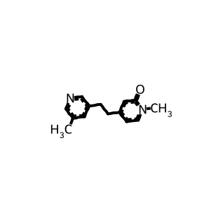 Cc1cncc(CCc2ccn(C)c(=O)c2)c1